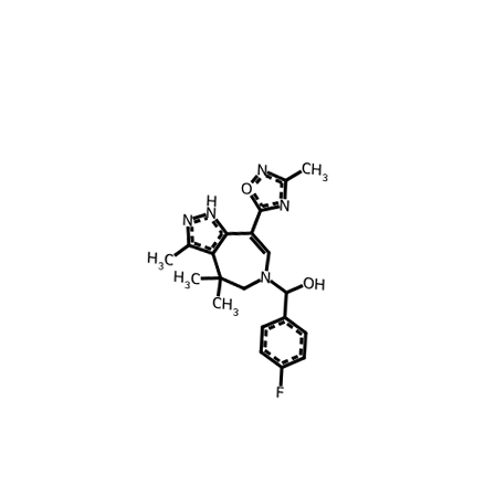 Cc1noc(C2=CN(C(O)c3ccc(F)cc3)CC(C)(C)c3c(C)n[nH]c32)n1